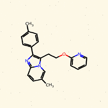 Cc1ccc(-c2nc3ccc(C)cn3c2CCOc2ccccn2)cc1